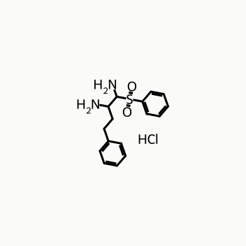 Cl.NC(CCc1ccccc1)C(N)S(=O)(=O)c1ccccc1